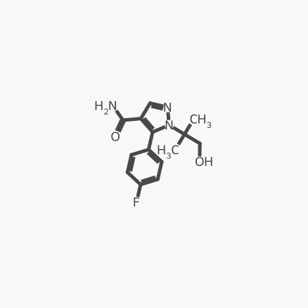 CC(C)(CO)n1ncc(C(N)=O)c1-c1ccc(F)cc1